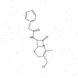 CC1=C(CCl)CSC2C(NC(=O)Cc3ccccc3)C(=O)N12